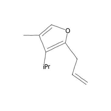 C=CCc1occ(C)c1C(C)C